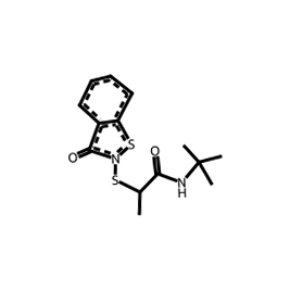 CC(Sn1sc2ccccc2c1=O)C(=O)NC(C)(C)C